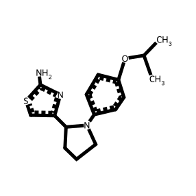 CC(C)Oc1ccc(N2CCCC2c2csc(N)n2)cc1